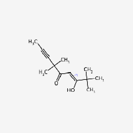 CC#CC(C)(C)C(=O)/C=C(\O)C(C)(C)C